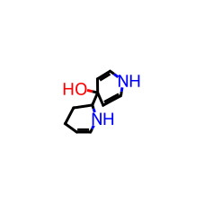 OC1(C2CCC=CN2)C=CNC=C1